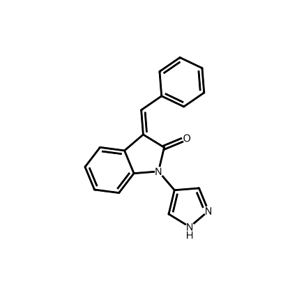 O=C1C(=Cc2ccccc2)c2ccccc2N1c1cn[nH]c1